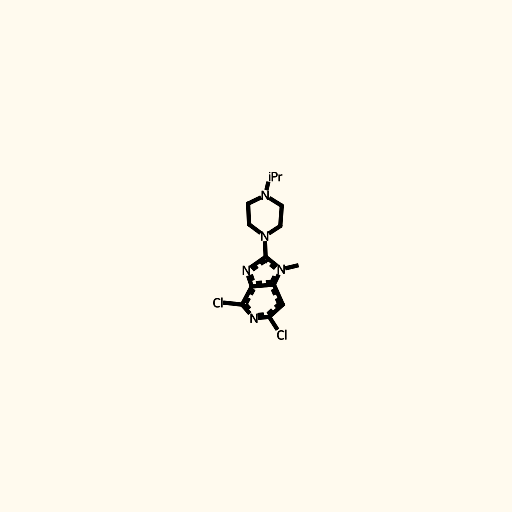 CC(C)N1CCN(c2nc3c(Cl)nc(Cl)cc3n2C)CC1